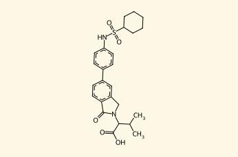 CC(C)C(C(=O)O)N1Cc2cc(-c3ccc(NS(=O)(=O)C4CCCCC4)cc3)ccc2C1=O